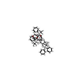 CC(C)(C)[Si](OC[C@H]1OC(O)[C@@H](O[Si](c2ccccc2)(c2ccccc2)C(C)(C)C)[C@@H]1O[Si](c1ccccc1)(c1ccccc1)C(C)(C)C)(c1ccccc1)c1ccccc1